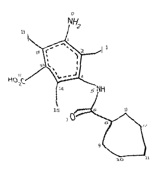 Nc1c(I)c(NC(=O)C2CCCCC2)c(I)c(C(=O)O)c1I